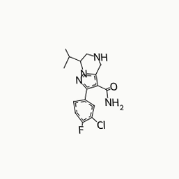 CC(C)C1CNCc2c(C(N)=O)c(-c3ccc(F)c(Cl)c3)nn21